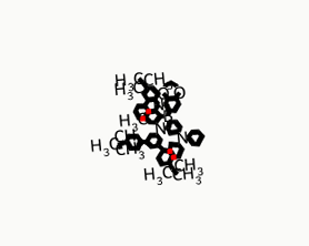 Cc1cc2c3c(c1)N(c1ccc(C(C)(C)C)cc1-c1ccccc1)c1c(ccc4c1OCCCO4)B3c1ccc(N(c3ccccc3)c3ccccc3)cc1N2c1cc(-c2ccc(C(C)(C)C)cc2)cc(-c2ccc(C(C)(C)C)cc2)c1